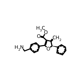 C=C1C(C(=O)OC)=C(c2ccc(CN)cc2)O[C@@H]1c1ccccc1